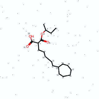 CCC(C)OC(=O)C(CCCCCC1CCCCCC1)C(=O)O